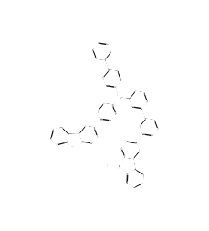 CC1(C)c2ccccc2-c2cc(-c3cccc(-c4cccc(N(c5ccc(-c6ccccc6)cc5)c5ccc(-c6ccc7sc8ccccc8c7c6)cc5)c4)c3)ccc21